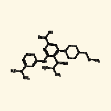 COCC1CCN(c2cc(C(=O)O)nc(Nc3cccc(N(C)C)c3)c2C(=N)C(C)C)CC1